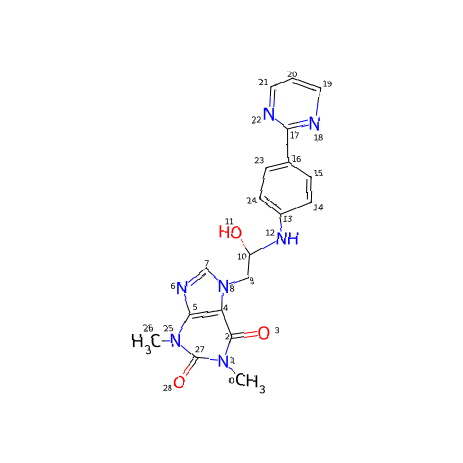 Cn1c(=O)c2c(ncn2CC(O)Nc2ccc(-c3ncccn3)cc2)n(C)c1=O